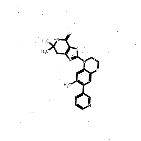 Cc1cc2c(cc1-c1cccnc1)OCCN2c1nc2c(s1)C(=O)NC(C)(C)C2